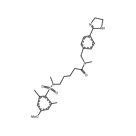 COc1cc(C)c(S(=O)(=O)N(C)CCCCC(=O)N(C)Cc2ccc(C3=NCCN3)cc2)c(C)c1